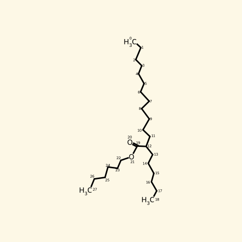 CCCCCCCCCCCCC(CCCCCC)C(=O)OCCCCCC